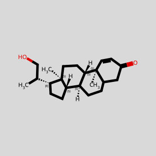 CC(CO)[C@H]1CC[C@H]2[C@@H]3CCC4CC(=O)C=C[C@]4(C)[C@H]3CC[C@]12C